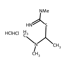 CNC(=N)SC(C)N(C)C.Cl.Cl